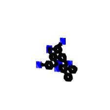 N#Cc1ccc(-c2nc3cc(-c4ccccc4)c4c5ccccc5nc(-c5ccc(-c6cc(C#N)cc(C#N)c6)cc5)c4c3nc2-c2ccc(C#N)cc2)cc1